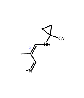 C/C(C=N)=C/NC1(C#N)CC1